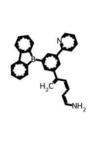 C=C(/C=C\C=C/N)c1cc(B2c3ccccc3-c3ccccc32)cc(-c2ccccn2)c1